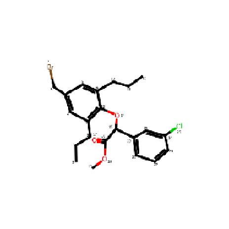 CCCc1cc(CBr)cc(CCC)c1OC(C(=O)OC)c1cccc(Cl)c1